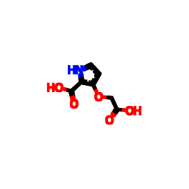 O=C(O)COc1cc[nH]c1C(=O)O